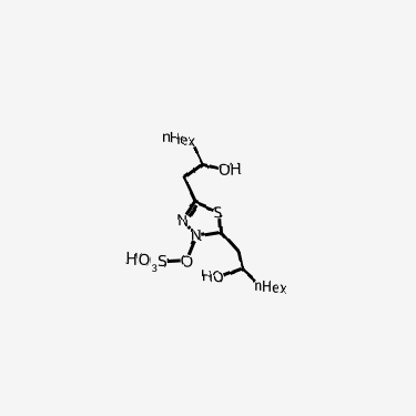 CCCCCCC(O)CC1=NN(OS(=O)(=O)O)C(CC(O)CCCCCC)S1